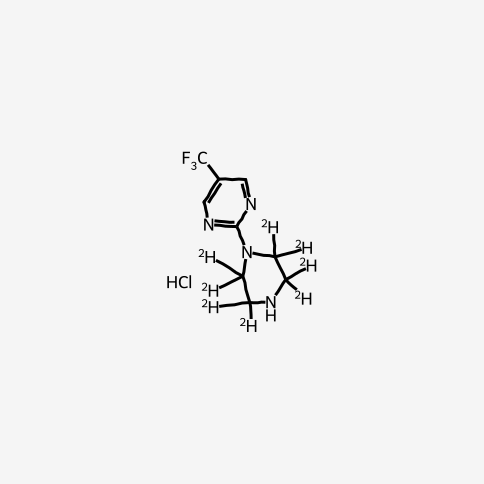 Cl.[2H]C1([2H])NC([2H])([2H])C([2H])([2H])N(c2ncc(C(F)(F)F)cn2)C1([2H])[2H]